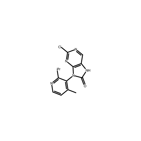 Cc1ccnc(C(C)C)c1-n1c(=O)[nH]c2cnc(Cl)nc21